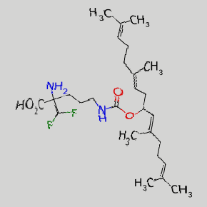 CC(C)=CCC/C(C)=C/CC(/C=C(\C)CCC=C(C)C)OC(=O)NCCCC(N)(C(=O)O)C(F)F